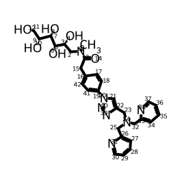 CN(C[C@H](O)[C@@H](O)[C@H](O)[C@H](O)CO)C(=O)Cc1ccc(-n2cc(CN(Cc3ccccn3)Cc3ccccn3)nn2)cc1